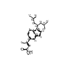 CC(=CC(=O)O)c1ccc2c(ccn2C(CC(C)C)CC(C)C)c1